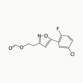 O=COCCc1cc(-c2cc(Cl)ccc2F)on1